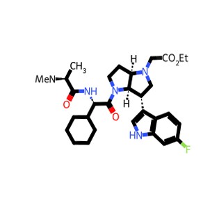 CCOC(=O)CN1C[C@H](c2c[nH]c3cc(F)ccc23)[C@@H]2[C@H]1CCN2C(=O)[C@@H](NC(=O)[C@H](C)NC)C1CCCCC1